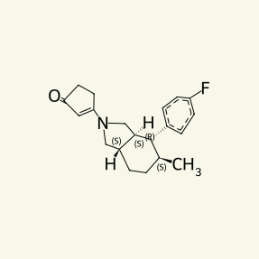 C[C@H]1CC[C@@H]2CN(C3=CC(=O)CC3)C[C@H]2[C@@H]1c1ccc(F)cc1